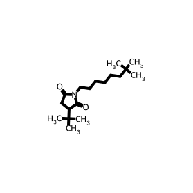 CC(C)(C)CCCCCCN1C(=O)CC(C(C)(C)C)C1=O